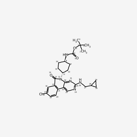 CC(C)(C)OC(=O)N[C@H]1CC[C@H](n2c(=O)c3cc(Cl)ccc3c3cnc(NCC4CC4)nc32)CC1